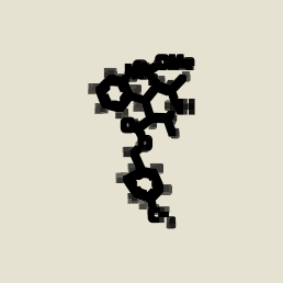 COC(=O)C1=C(C)NC(C)=C(C(=O)OCc2ccc(C(F)(F)F)cc2)C1c1ccccc1[N+](=O)[O-]